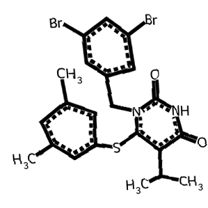 Cc1cc(C)cc(Sc2c(C(C)C)c(=O)[nH]c(=O)n2Cc2cc(Br)cc(Br)c2)c1